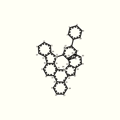 c1ccc(-c2cccc(-n3c4ccccc4c4ccc5c6ccccc6c6cc7ccccc7n6c5c43)n2)cc1